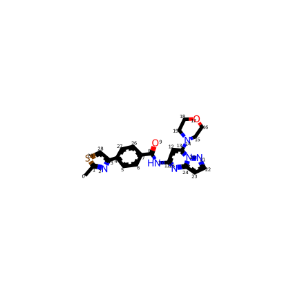 Cc1nc(-c2ccc(C(=O)Nc3cc(N4CCOCC4)n4nccc4n3)cc2)cs1